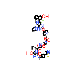 CCc1cccc2cc(O)cc(-c3ncc4c(N5CC6CCC(C5)N6)nc(OC[C@@]56CCCN5[C@H](COC(=O)N5CC(Oc7cc([C@@H](C(=O)N8C[C@H](O)C[C@H]8C(=O)N[C@@H](C)c8ccc(-c9scnc9C)cc8)C(C)C)on7)C5)CC6)nc4c3F)c12